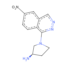 N[C@@H]1CCN(c2nncc3cc([N+](=O)[O-])ccc23)C1